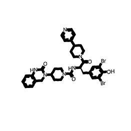 O=C(N[C@H](Cc1cc(Br)c(O)c(Br)c1)C(=O)N1CCC(c2ccncc2)CC1)N1CCC(N2Cc3ccccc3NC2=O)CC1